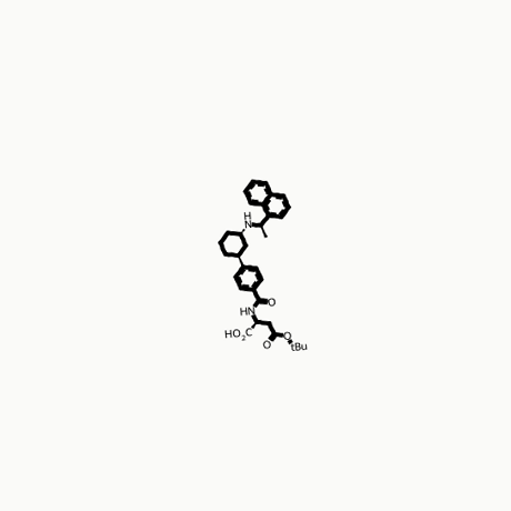 C[C@@H](N[C@H]1CCC[C@H](c2ccc(C(=O)N[C@@H](CC(=O)OC(C)(C)C)C(=O)O)cc2)C1)c1cccc2ccccc12